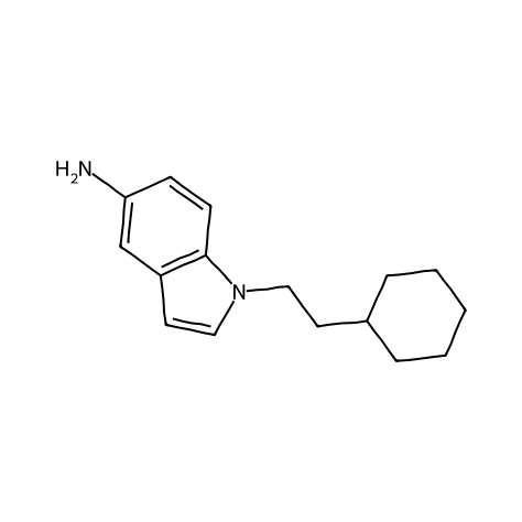 Nc1ccc2c(ccn2CCC2CCCCC2)c1